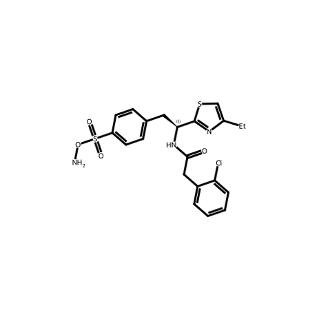 CCc1csc([C@H](Cc2ccc(S(=O)(=O)ON)cc2)NC(=O)Cc2ccccc2Cl)n1